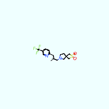 C[C@@H](Cc1ccc(C(F)(F)F)cn1)CN1CCC2(C1)CS(=O)(=O)C2